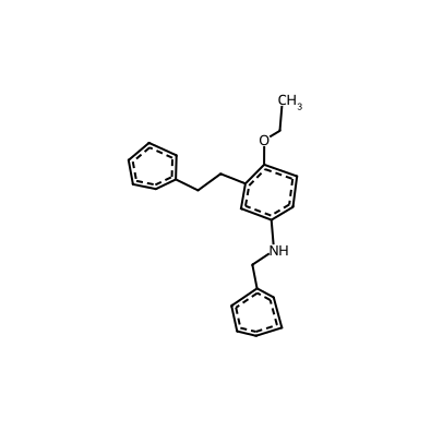 CCOc1ccc(NCc2ccccc2)cc1CCc1ccccc1